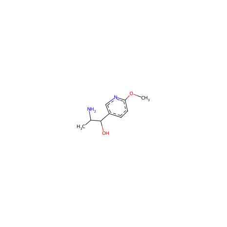 COc1ccc(C(O)C(C)N)cn1